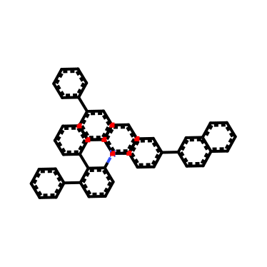 c1ccc(-c2ccc(N(c3ccc(-c4ccc5ccccc5c4)cc3)c3cccc(-c4ccccc4)c3-c3ccccc3-c3ccccc3)cc2)cc1